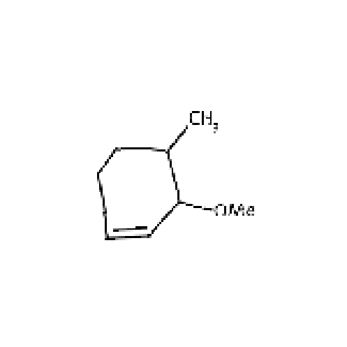 COC1C=CCCC1C